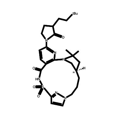 CC(C)(C)CCC1CCN(c2ccc3c(n2)N2C[C@H](CCCn4ccc(n4)S(=O)(=O)NC3=O)CC2(C)C)C1=O